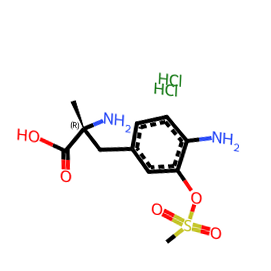 C[C@@](N)(Cc1ccc(N)c(OS(C)(=O)=O)c1)C(=O)O.Cl.Cl